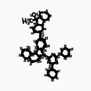 CC1(C)c2ccccc2-c2cc(-c3ccc4c(c3)c3c5ccccc5ccc3n4-c3nc(-c4ccccc4)nc(-c4ccccc4)n3)ccc21